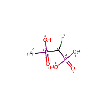 CCCP(=O)(O)C(F)P(=O)(O)O